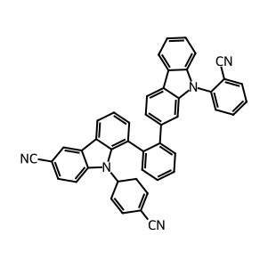 N#CC1=CCC(n2c3ccc(C#N)cc3c3cccc(-c4ccccc4-c4ccc5c6ccccc6n(-c6ccccc6C#N)c5c4)c32)C=C1